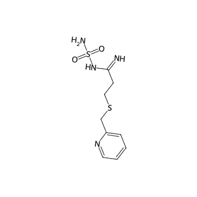 N=C(CCSCc1ccccn1)NS(N)(=O)=O